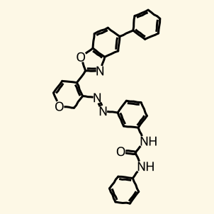 O=C(Nc1ccccc1)Nc1cccc(N=NC2=C(c3nc4cc(-c5ccccc5)ccc4o3)C=COC2)c1